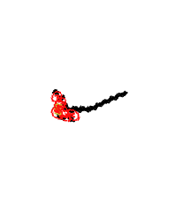 CCCCCCCCCCCCCC=CC(OC(C)OCC)C(COC(C)OCC)OS(C)(=O)=O